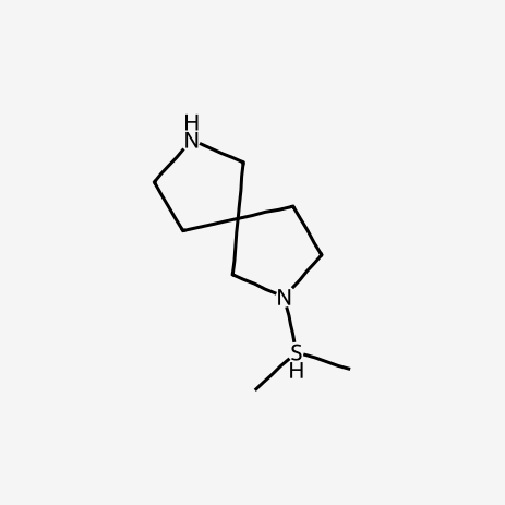 C[SH](C)N1CCC2(CCNC2)C1